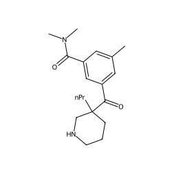 CCCC1(C(=O)c2cc(C)cc(C(=O)N(C)C)c2)CCCNC1